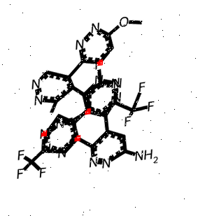 COc1ccc(-c2[c]nnc(C)c2-c2nnc(C(F)(F)F)cc2-c2nnc(C(F)(F)F)cc2-c2nnc(N)cc2-c2nnc(F)cc2-c2ccnnc2)nn1